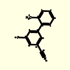 Cc1ccccc1-c1cc(F)cc(C#N)c1